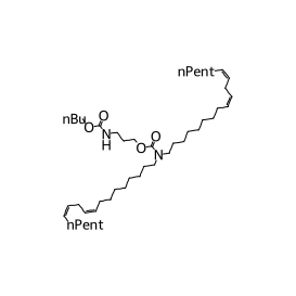 CCCCC/C=C\C/C=C\CCCCCCCCN(CCCCCCCC/C=C\C/C=C\CCCCC)C(=O)OCCCNC(=O)OCCCC